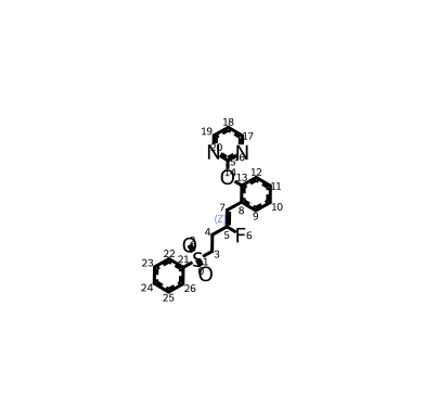 O=S(=O)(CC/C(F)=C/c1ccccc1Oc1ncccn1)c1ccccc1